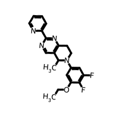 CCOc1cc(N2CCc3nc(-c4ccccn4)ncc3C2C)cc(F)c1F